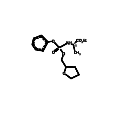 CCOC(=O)[C@H](C)NP(=O)(OCC1CCCO1)Oc1ccccc1